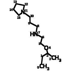 CCC(C)OCCNCCCN1CCCC1